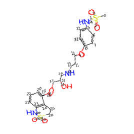 CS(=O)(=O)Nc1ccc(OCCCNCC(O)COc2cccc3c2CCS(=O)(=O)N3)cc1